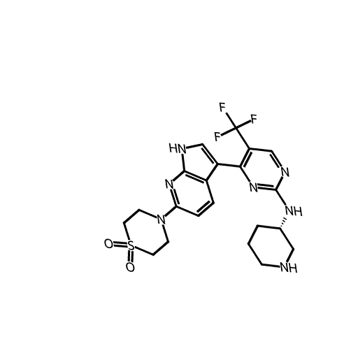 O=S1(=O)CCN(c2ccc3c(-c4nc(N[C@H]5CCCNC5)ncc4C(F)(F)F)c[nH]c3n2)CC1